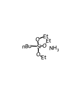 CCCC[Si](OCC)(OCC)OCC.N